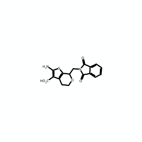 Nc1sc2c(c1C(=O)O)CCOC2CN1C(=O)c2ccccc2C1=O